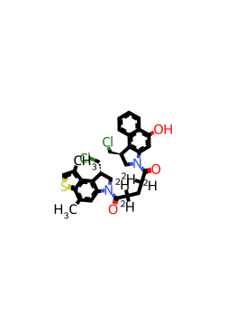 [2H]C([2H])(CC([2H])([2H])C(=O)N1C[C@@H](CCl)c2c1cc(C)c1scc(C)c21)C(=O)N1C[C@@H](CCl)c2c1cc(O)c1ccccc21